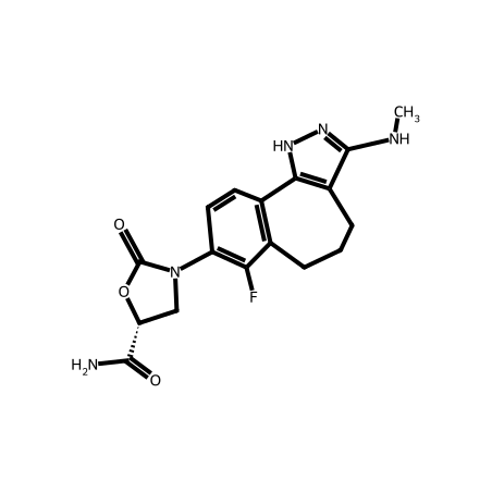 CNc1n[nH]c2c1CCCc1c-2ccc(N2C[C@H](C(N)=O)OC2=O)c1F